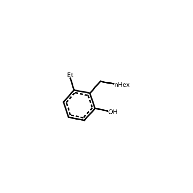 CCCCCCCc1c(O)cccc1CC